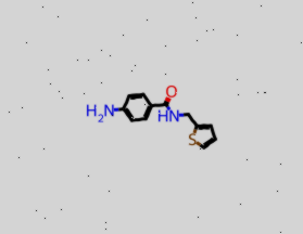 Nc1ccc(C(=O)NCc2cccs2)cc1